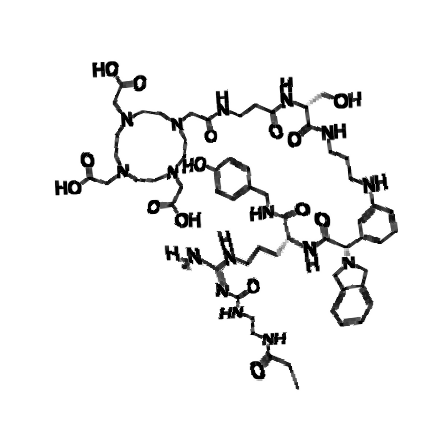 CCC(=O)NCCNC(=O)/N=C(/N)NCCC[C@@H](NC(=O)[C@H](c1cccc(NCCCNC(=O)[C@@H](CO)NC(=O)CCNC(=O)CN2CCN(CC(=O)O)CCN(CC(=O)O)CCN(CC(=O)O)CC2)c1)N1Cc2ccccc2C1)C(=O)NCc1ccc(O)cc1